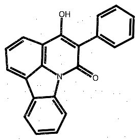 O=c1c(-c2ccccc2)c(O)c2cccc3c4ccccc4n1c23